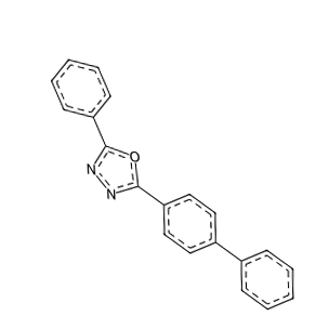 c1ccc(-c2ccc(-c3nnc(-c4ccccc4)o3)cc2)cc1